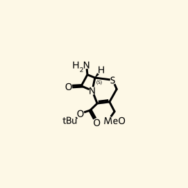 COCC1=C(C(=O)OC(C)(C)C)N2C(=O)C(N)[C@@H]2SC1